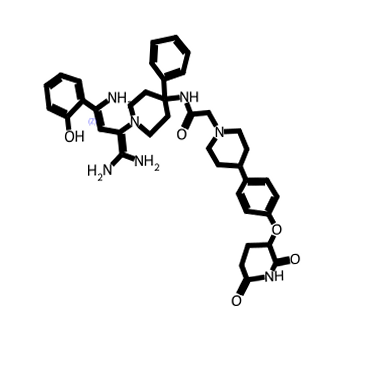 NC(N)=C(/C=C(\N)c1ccccc1O)N1CCC(NC(=O)CN2CCC(c3ccc(OC4CCC(=O)NC4=O)cc3)CC2)(c2ccccc2)CC1